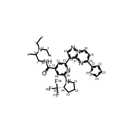 CCN(CC)C(C)CNC(=O)c1cc(-c2cnn3ccc(-c4cccs4)nc23)nc(N2CCC[C@@H]2C(F)(F)F)c1